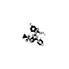 C[C@@H]1COCCN1c1nc(-n2c(N)nc3cc(F)ccc32)nc2c1cnn2S(=O)(=O)C1CC1